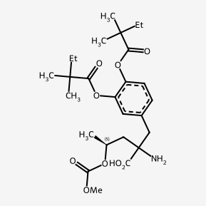 CCC(C)(C)C(=O)Oc1ccc(CC(N)(C[C@H](C)OC(=O)OC)C(=O)O)cc1OC(=O)C(C)(C)CC